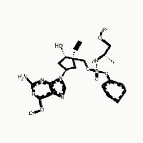 C#C[C@]1(CO[P@@](=O)(N[C@@H](C)COC(C)C)Oc2ccccc2)C[C@@H](n2cnc3c(OCC)nc(N)nc32)C[C@@H]1O